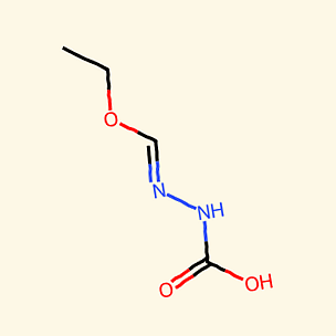 CCOC=NNC(=O)O